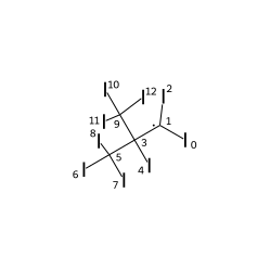 I[C](I)C(I)(C(I)(I)I)C(I)(I)I